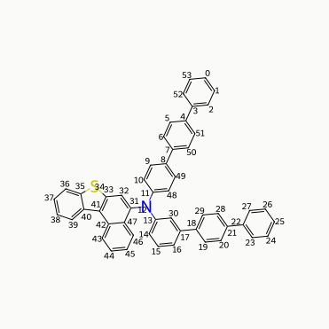 c1ccc(-c2ccc(-c3ccc(N(c4cccc(-c5ccc(-c6ccccc6)cc5)c4)c4cc5sc6ccccc6c5c5ccccc45)cc3)cc2)cc1